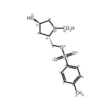 Cc1ccc(S(=O)(=O)OC[C@@H]2C[C@@H](O)CN2C(=O)O)cc1